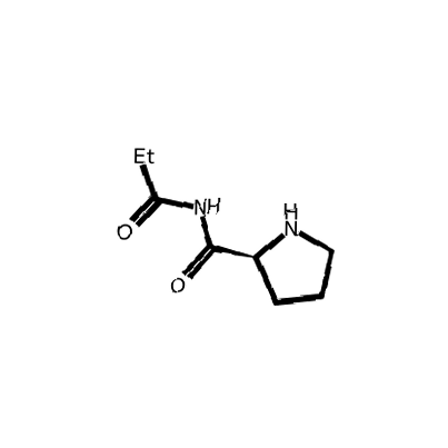 CCC(=O)NC(=O)[C@@H]1CCCN1